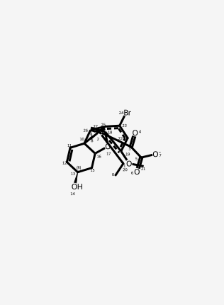 CC[N+]1(C(=O)C(=O)[O-])CCC23C=C[C@H](O)CC2Oc2c(OC)cc(Br)c(c23)C1